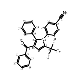 N#Cc1ccc(-n2c(C(F)(F)F)cc(C(=O)c3ccccc3)c2-c2ccccc2)cc1